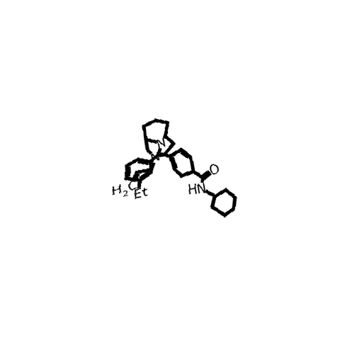 C=CCN1CCC2CCCC(C1)N2C(C1=CCC(C(=O)NC2CCCCC2)C=C1)c1cccc(CC)c1